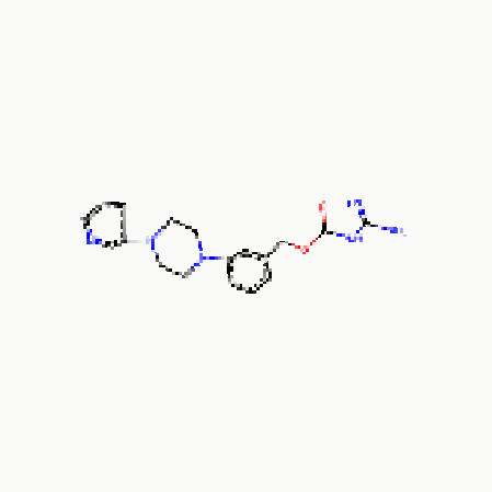 N=C(N)NC(=O)OCc1cccc(N2CCN(c3cccnc3)CC2)c1